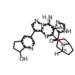 CC(=O)c1c(C2CC3CC[C@H](C2)N3C(=O)c2nnc[nH]2)nc2c(-c3cnc4c(c3)CCC4O)cnn2c1N